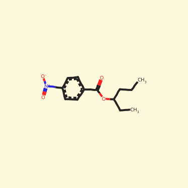 CCCC(CC)OC(=O)c1ccc([N+](=O)[O-])cc1